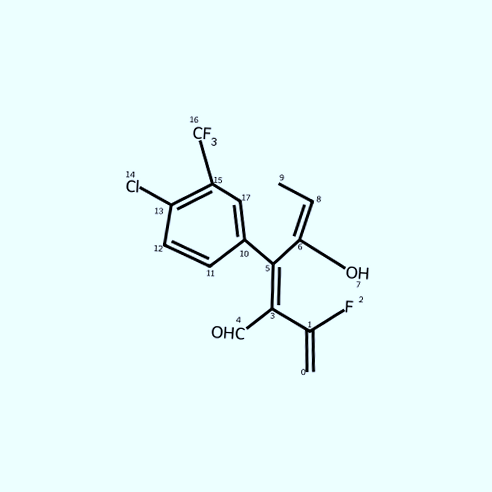 C=C(F)/C(C=O)=C(\C(O)=C/C)c1ccc(Cl)c(C(F)(F)F)c1